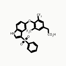 O=C(O)Cc1cc(C(F)(F)F)c(Oc2ccc3[nH]cc(S(=O)(=O)c4ccccc4)c3c2)c(C(F)(F)F)c1